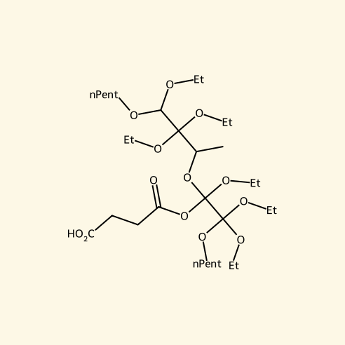 CCCCCOC(OCC)C(OCC)(OCC)C(C)OC(OCC)(OC(=O)CCC(=O)O)C(OCC)(OCC)OCCCCC